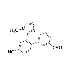 Cn1cnnc1-c1cc(C#N)ccc1-c1cccc(C=O)c1